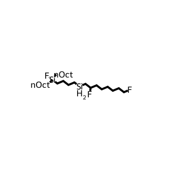 CCCCCCCC[Si](F)(CCCCCCCC)CCCC[SiH2]CC(F)CCCCCCF